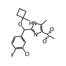 Cc1[nH]c(C(OC2(C)CCC2)c2ccc(F)c(Cl)c2)nc1S(C)(=O)=O